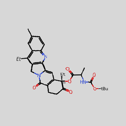 CCc1c2c(nc3ccc(C)cc13)-c1cc3c(c(=O)n1C2)CCC(=O)[C@@]3(CC)OC(=O)C(C)NC(=O)OC(C)(C)C